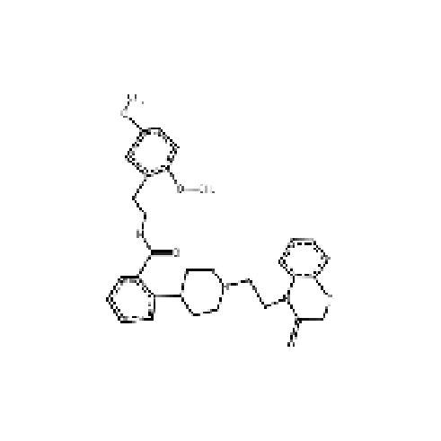 COc1ccc(OC)c(CCNC(=O)c2ccccc2C2CCN(CCN3C(=O)COc4ccccc43)CC2)c1